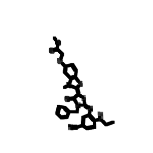 CCNc1ccc(C#N)cc1/N=C1/S/C(=C2\Sc3ccc(OCC(=O)OC)cc3N2C)C(=O)N1Cc1ccccc1